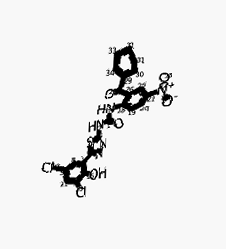 O=C(Nc1nnc(-c2cc(Cl)cc(Cl)c2O)s1)Nc1ccc([N+](=O)[O-])cc1C(=O)c1ccccc1